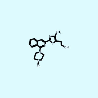 CCN1CCN(c2nc(-c3nc(C)c(CCO)s3)cc3ccccc23)CC1